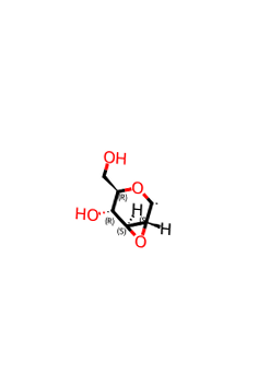 OC[C@H]1O[CH][C@@H]2O[C@H]2[C@@H]1O